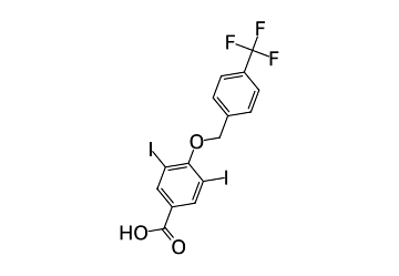 O=C(O)c1cc(I)c(OCc2ccc(C(F)(F)F)cc2)c(I)c1